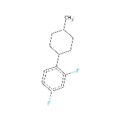 [CH2]C1CCC(c2ccc(F)cc2F)CC1